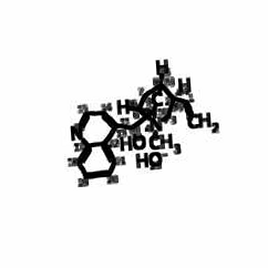 C=C[C@H]1C[N+]2(C)CC[C@H]1C[C@H]2[C@H](O)c1ccnc2ccccc12.[OH-]